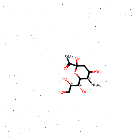 COC(=O)C1(O)CC(O)[C@@H](NC(C)=O)C([C@H](O)[C@H](O)CO)O1